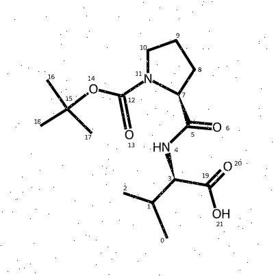 CC(C)[C@@H](NC(=O)[C@@H]1CCCN1C(=O)OC(C)(C)C)C(=O)O